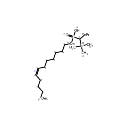 CCCCCCCCCCCCC/C=C\CCCCCCOP(=O)(O)C(CCC)[N+](C)(C)C